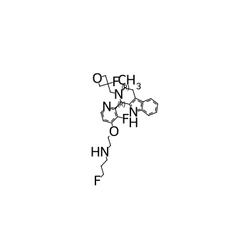 C[C@@H]1Cc2c([nH]c3ccccc23)[C@@H](c2nccc(OCCNCCCF)c2F)N1CC1(F)COC1